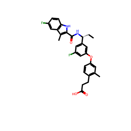 CC[C@@H](NC(=O)c1[nH]c2ccc(F)cc2c1C)c1cc(F)cc(Oc2ccc(CCC(=O)O)c(C)c2)c1